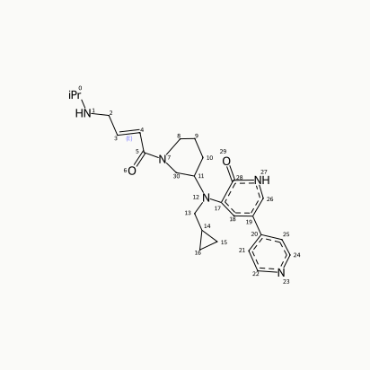 CC(C)NC/C=C/C(=O)N1CCCC(N(CC2CC2)c2cc(-c3ccncc3)c[nH]c2=O)C1